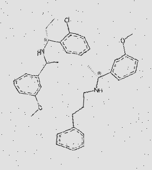 CC[C@@H](NC(C)c1cccc(OC)c1)c1ccccc1Cl.COc1cccc([C@@H](C)NCCCc2ccccc2)c1